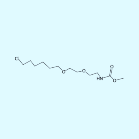 COC(=O)NCCOCCOCCCCCCCl